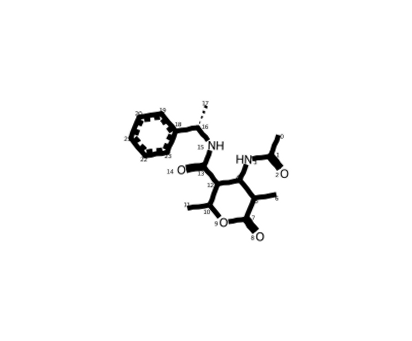 CC(=O)NC1C(C)C(=O)OC(C)C1C(=O)N[C@@H](C)c1ccccc1